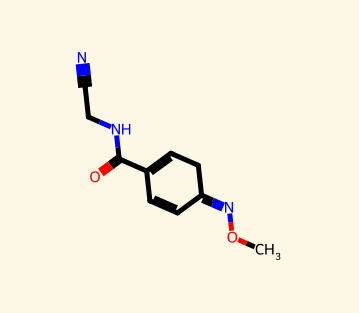 CON=C1C=CC(C(=O)NCC#N)=CC1